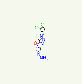 Cc1c(NCc2ccc(Cl)c(Cl)c2)ncnc1C(=O)N1CCC(N(C)CN)CC1